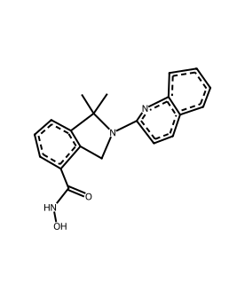 CC1(C)c2cccc(C(=O)NO)c2CN1c1ccc2ccccc2n1